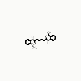 COc1ccccc1NC(=O)CCCCC(=O)Nc1ccccc1CO